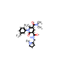 CCN1CCC[C@@H]1CNC(=O)c1cc(C(=O)N(C)C)c(C)n(-c2cccc(C(F)(F)F)c2)c1=O